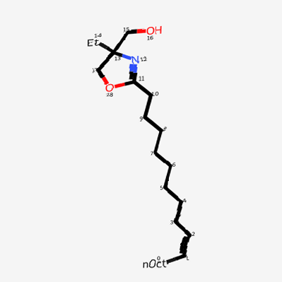 CCCCCCCC/C=C\CCCCCCCCC1=NC(CC)(CO)CO1